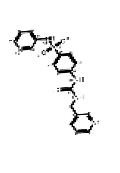 O=C(NCc1cccnc1)Nc1ccc(S(=O)(=O)Nc2cccnc2)cc1